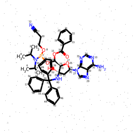 CC(C)N(C(C)C)P(OCCC#N)OC(OC(=O)c1ccccc1)[C@H]1O[C@@H](n2cnc3c(N)ncnc32)C[C@@]1(O)NC(c1ccccc1)(c1ccccc1)c1ccccc1